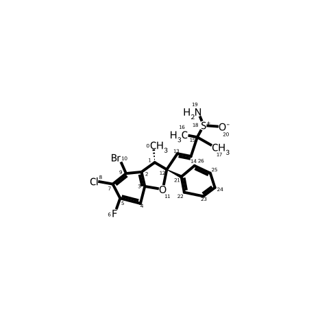 C[C@H]1c2c(cc(F)c(Cl)c2Br)O[C@]1(/C=C/C(C)(C)[S+](N)[O-])c1ccccc1